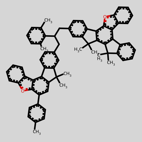 Cc1ccc(-c2cc3c(c4c2oc2ccccc24)-c2ccc(CC(Cc4ccc5c(c4)C(C)(C)c4c6c(c7c(oc8ccccc87)c4-5)-c4ccccc4C6(C)C)c4c(C)cccc4C)cc2C3(C)C)cc1